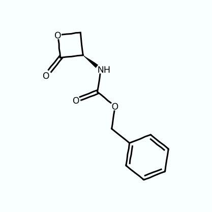 O=C(N[C@@H]1COC1=O)OCc1ccccc1